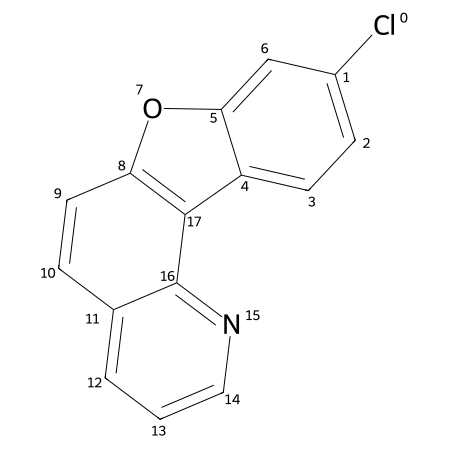 Clc1ccc2c(c1)oc1ccc3cccnc3c12